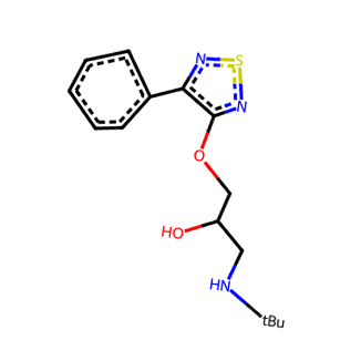 CC(C)(C)NCC(O)COc1nsnc1-c1ccccc1